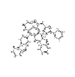 c1ccc(-c2nc3cc4c(cc3o2)oc2cccc(N(c3ccc5c(c3)sc3ccccc35)c3ccc5sc6ccccc6c5c3)c24)cc1